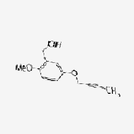 CC#CCOc1ccc(OC)c(CO)c1